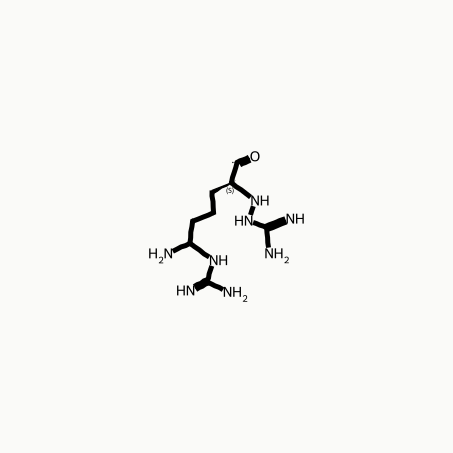 N=C(N)NN[C@H]([C]=O)CCCC(N)NC(=N)N